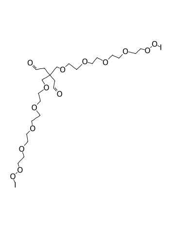 O=CCC(CC=O)(COCCOCCOCCOCCOOI)COCCOCCOCCOCCOOI